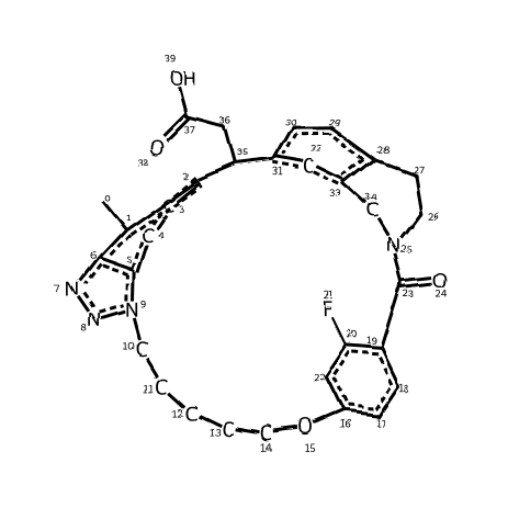 Cc1c2ccc3c1nnn3CCCCCOc1ccc(c(F)c1)C(=O)N1CCc3ccc(cc3C1)C2CC(=O)O